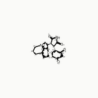 O=C1NC(=O)[C@H](c2cn3c4c(cccc24)CCC3)[C@H]1c1ccc(Cl)cc1Cl